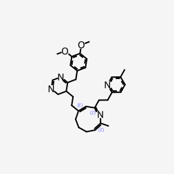 COc1ccc(CC2=NC=NCC2CC/C2=C/C(CCc3ccc(C)cn3)=N\C(C)=C/CCC2)cc1OC